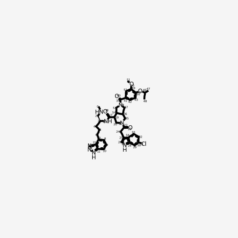 CNC[C@H](CCCc1cccc2[nH]nnc12)NC(=O)C1CN(C(=O)Cc2c[nH]c3cc(Cl)ccc23)CC2CN(C(=O)c3ccc(OC(C)C)c(OC)c3)CC21